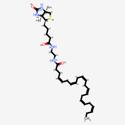 CC/C=C\C/C=C\C/C=C\C/C=C\C/C=C\C/C=C\CCC(=O)NCCNC(=O)CCCC[C@@H]1SC[C@@H]2NC(=O)N[C@@H]21